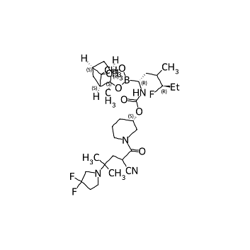 CC[C@@H](F)C(C)C[C@H](NC(=O)O[C@H]1CCCN(C(=O)C(C#N)CC(C)(C)N2CCC(F)(F)C2)C1)B1O[C@@H]2C[C@@H]3C[C@@H](C3(C)C)[C@]2(C)O1